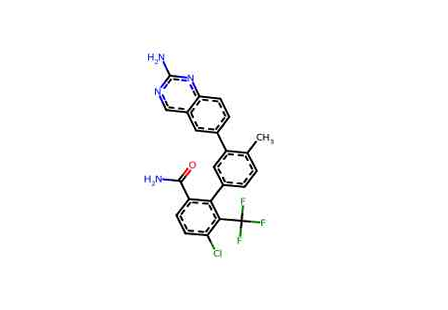 Cc1ccc(-c2c(C(N)=O)ccc(Cl)c2C(F)(F)F)cc1-c1ccc2nc(N)ncc2c1